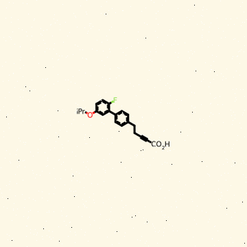 CC(C)Oc1ccc(F)c(-c2ccc(CCC#CC(=O)O)cc2)c1